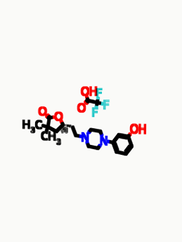 CC1(C)C[C@@H](CCN2CCN(c3cccc(O)c3)CC2)OC1=O.O=C(O)C(F)(F)F